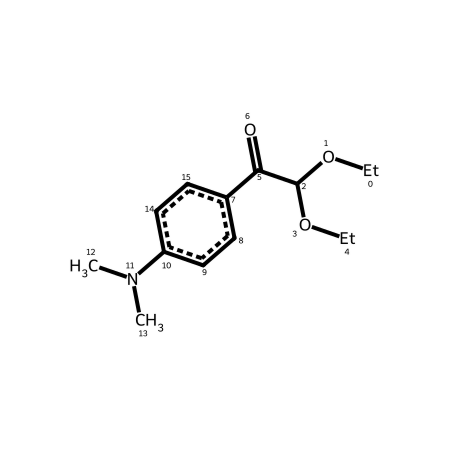 CCOC(OCC)C(=O)c1ccc(N(C)C)cc1